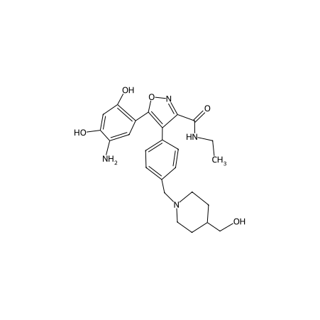 CCNC(=O)c1noc(-c2cc(N)c(O)cc2O)c1-c1ccc(CN2CCC(CO)CC2)cc1